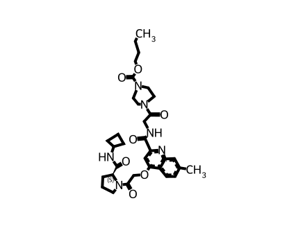 CCCCOC(=O)N1CCN(C(=O)CNC(=O)c2cc(OCC(=O)N3CCC[C@H]3C(=O)NC3CCC3)c3ccc(C)cc3n2)CC1